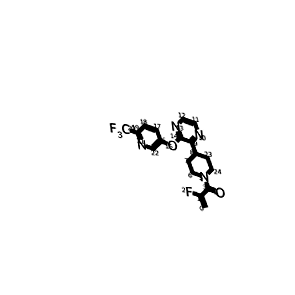 C=C(F)C(=O)N1CCC(c2nccnc2Oc2ccc(C(F)(F)F)nc2)CC1